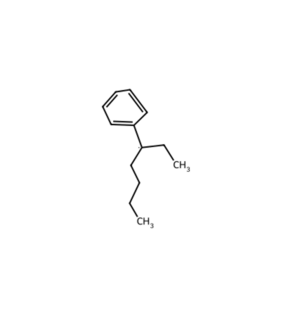 CCCC[C](CC)c1ccccc1